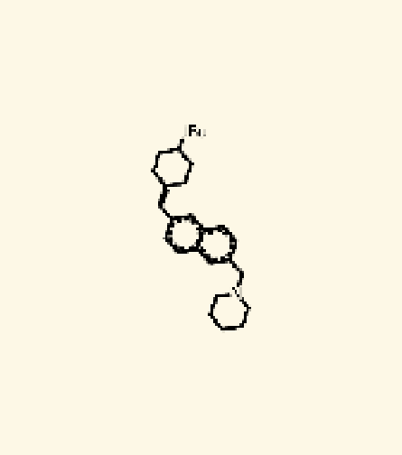 CC(C)(C)C1CCC(=Cc2ccc3cc(CN4CCCCC4)ccc3c2)CC1